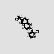 O=[N+]([O-])c1ccc2nc(Sc3cccnc3Cl)ccc2c1